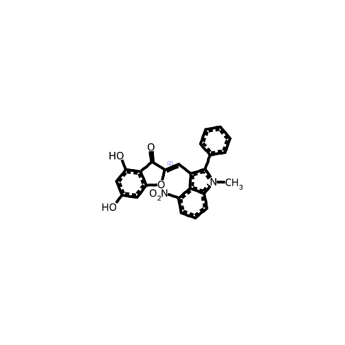 Cn1c(-c2ccccc2)c(/C=C2\Oc3cc(O)cc(O)c3C2=O)c2c([N+](=O)[O-])cccc21